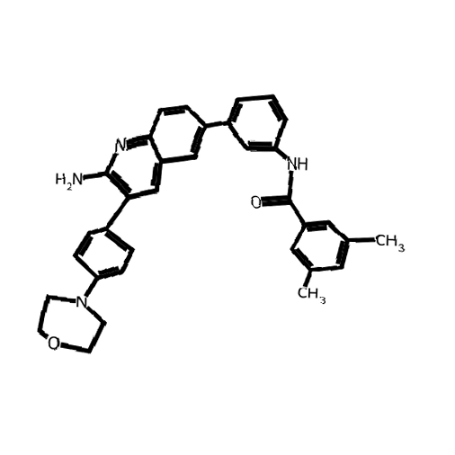 Cc1cc(C)cc(C(=O)Nc2cccc(-c3ccc4nc(N)c(-c5ccc(N6CCOCC6)cc5)cc4c3)c2)c1